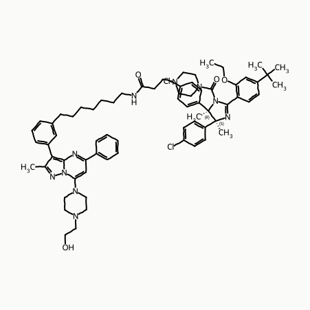 CCOc1cc(C(C)(C)C)ccc1C1=N[C@@](C)(c2ccc(Cl)cc2)[C@@](C)(c2ccc(Cl)cc2)N1C(=O)N1CCN(CCC(=O)NCCCCCCCc2cccc(-c3c(C)nn4c(N5CCN(CCO)CC5)cc(-c5ccccc5)nc34)c2)CC1